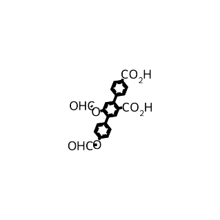 O=COc1ccc(-c2cc(C(=O)O)c(-c3ccc(C(=O)O)cc3)cc2OC=O)cc1